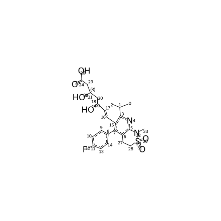 CC(C)c1nc2c(c(-c3ccc(F)cc3)c1C=C[C@@H](O)C[C@@H](O)CC(=O)O)CCS(=O)(=O)N2C